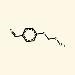 CSCOc1ccc(C=O)cc1